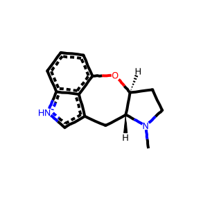 CN1CC[C@@H]2Oc3cccc4[nH]cc(c34)C[C@H]21